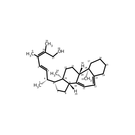 CC(C=C[C@@H](C)[C@H]1CC[C@H]2C3=CC=C4CCCC[C@]4(C)[C@H]3CC[C@]12C)=C(C)CO